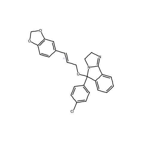 Clc1ccc(C2(OC/C=C/c3ccc4c(c3)OCO4)c3ccccc3C3=NCCN32)cc1